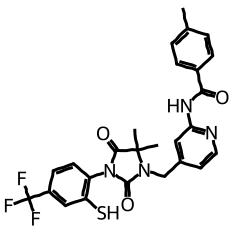 Cc1ccc(C(=O)Nc2cc(CN3C(=O)N(c4ccc(C(F)(F)F)cc4S)C(=O)C3(C)C)ccn2)cc1